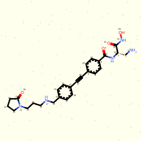 NC[C@H](NC(=O)c1ccc(C#Cc2ccc(CNCCCN3CCCC3=O)cc2)cc1)C(=O)NO